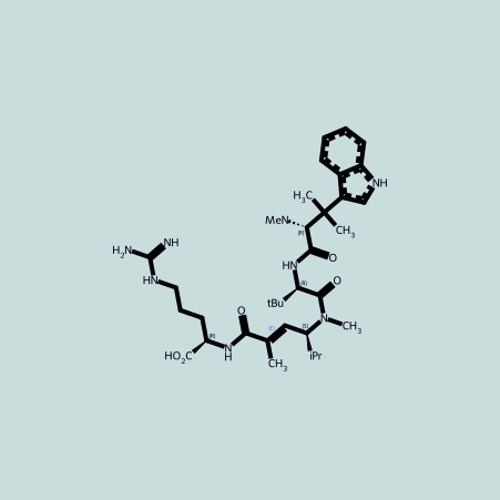 CN[C@@H](C(=O)N[C@@H](C(=O)N(C)[C@H](/C=C(\C)C(=O)N[C@H](CCCNC(=N)N)C(=O)O)C(C)C)C(C)(C)C)C(C)(C)c1c[nH]c2ccccc12